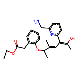 CCOC(=O)Cc1ccccc1OC(C)/C(C)=C/C(=C(\C)O)c1cccc(CN)n1